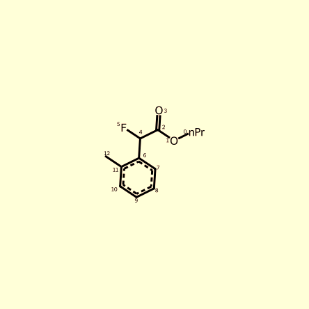 CCCOC(=O)C(F)c1ccccc1C